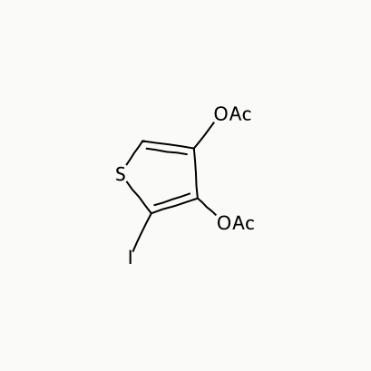 CC(=O)Oc1csc(I)c1OC(C)=O